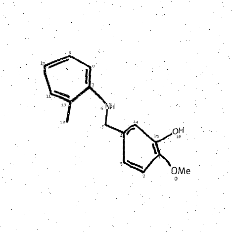 COc1ccc(CNc2ccccc2C)cc1O